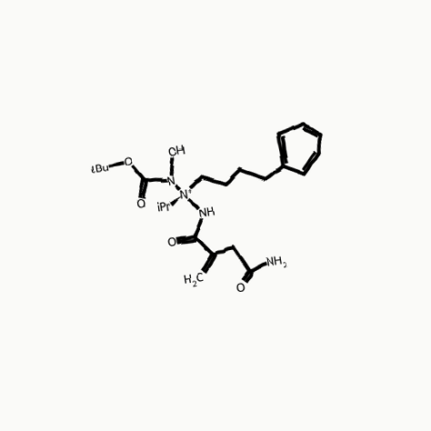 C=C(CC(N)=O)C(=O)N[N@+](CCCCc1ccccc1)(C(C)C)N(O)C(=O)OC(C)(C)C